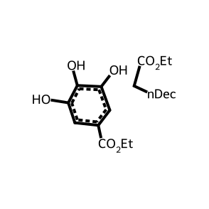 CCCCCCCCCCCC(=O)OCC.CCOC(=O)c1cc(O)c(O)c(O)c1